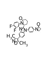 Cc1noc(C)c1-c1ccc2c(c1)nc([C@@H]1CCCC(=O)N1c1ccc(F)c(F)c1)n2-c1ccc(N2CCC2=O)cc1